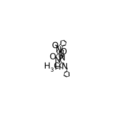 C[C@@H]1CN(Cc2ccccc2)CC1c1nnc(CN2C(=O)c3ccccc3C2=O)c(=O)[nH]1